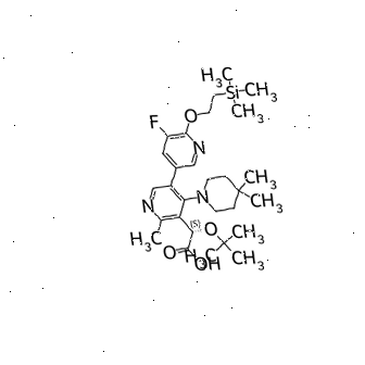 Cc1ncc(-c2cnc(OCC[Si](C)(C)C)c(F)c2)c(N2CCC(C)(C)CC2)c1[C@H](OC(C)(C)C)C(=O)O